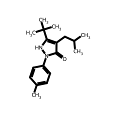 Cc1ccc(-n2[nH]c(C(C)(C)C)c(CC(C)C)c2=O)cc1